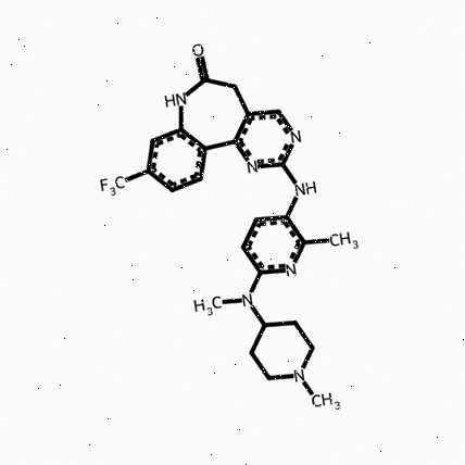 Cc1nc(N(C)C2CCN(C)CC2)ccc1Nc1ncc2c(n1)-c1ccc(C(F)(F)F)cc1NC(=O)C2